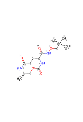 C=CCOC(=O)NC(CCC(N)=O)C(=O)NOCC(C)(C)C(=O)O